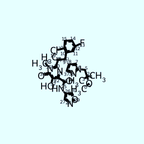 COC(C)(C)Cn1cc([C@@H](c2cc(F)ccc2Cl)[C@@H](C)c2nc(C(=O)Nc3cnoc3)c(O)c(=O)n2C)cn1